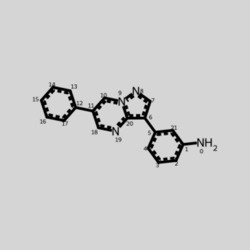 Nc1cccc(-c2cnn3cc(-c4ccccc4)cnc23)c1